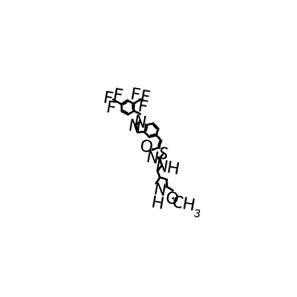 COCC1CC(CNC2=NC(=O)C(=Cc3ccc4c(cnn4Cc4ccc(C(F)(F)F)cc4C(F)(F)F)c3)S2)CN1